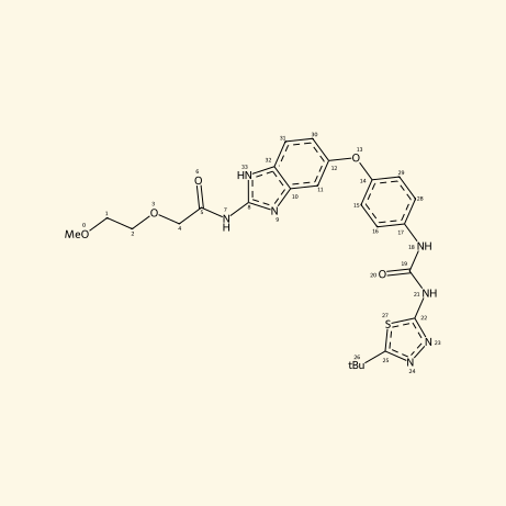 COCCOCC(=O)Nc1nc2cc(Oc3ccc(NC(=O)Nc4nnc(C(C)(C)C)s4)cc3)ccc2[nH]1